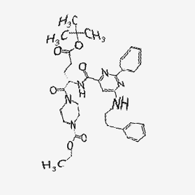 CCOC(=O)N1CCN(C(=O)[C@H](CCC(=O)OC(C)(C)C)NC(=O)c2cc(NCCc3ccccc3)nc(-c3ccccc3)n2)CC1